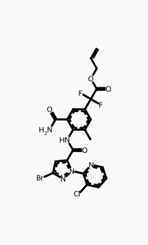 C=CCOC(=O)C(F)(F)c1cc(C)c(NC(=O)c2cc(Br)nn2-c2ncccc2Cl)c(C(N)=O)c1